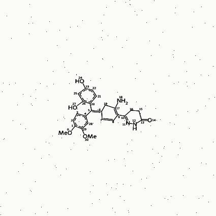 COc1ccc(C(=C2C=CC(C3=NNC(=O)CC3)=C(N)C2)c2ccc(O)cc2O)cc1OC